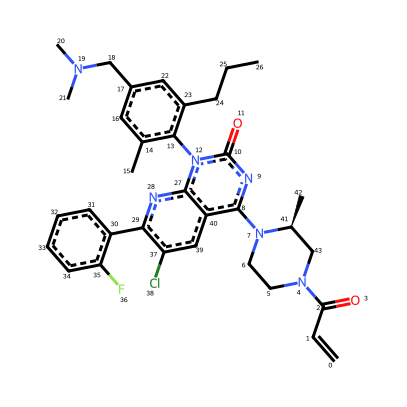 C=CC(=O)N1CCN(c2nc(=O)n(-c3c(C)cc(CN(C)C)cc3CCC)c3nc(-c4ccccc4F)c(Cl)cc23)[C@@H](C)C1